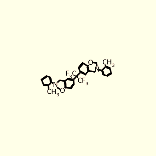 Cc1ccccc1N1COc2ccc(C(c3ccc4c(c3)CN(c3ccccc3C)CO4)(C(F)(F)F)C(F)(F)F)cc2C1